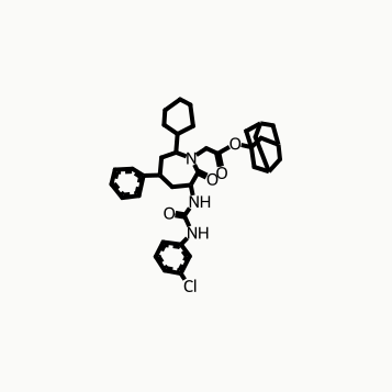 O=C(Nc1cccc(Cl)c1)NC1CC(c2ccccc2)CC(C2CCCCC2)N(CC(=O)OC23CC4CC(CC(C4)C2)C3)C1=O